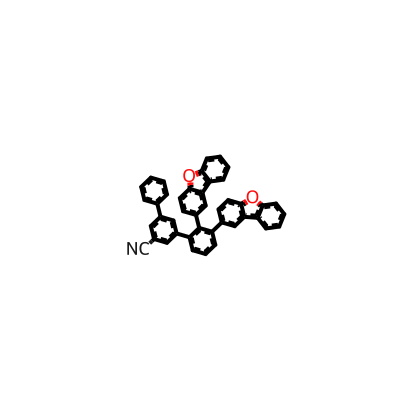 N#Cc1cc(-c2ccccc2)cc(-c2cccc(-c3ccc4oc5ccccc5c4c3)c2-c2ccc3oc4ccccc4c3c2)c1